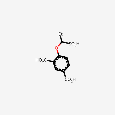 CCC(Oc1ccc(C(=O)O)cc1C(=O)O)S(=O)(=O)O